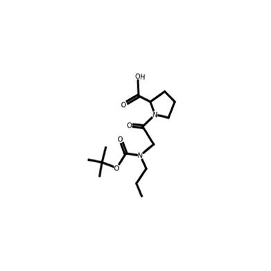 CCCN(CC(=O)N1CCCC1C(=O)O)C(=O)OC(C)(C)C